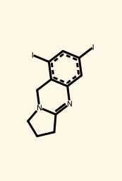 Ic1cc(I)c2c(c1)N=C1CCCN1C2